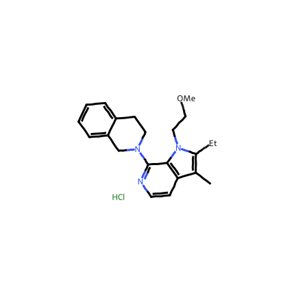 CCc1c(C)c2ccnc(N3CCc4ccccc4C3)c2n1CCOC.Cl